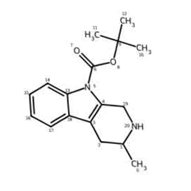 CC1Cc2c(n(C(=O)OC(C)(C)C)c3ccccc23)CN1